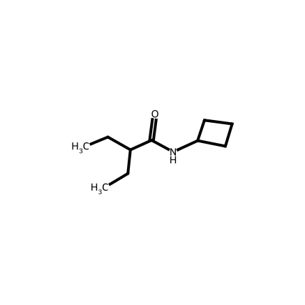 CCC(CC)C(=O)NC1CCC1